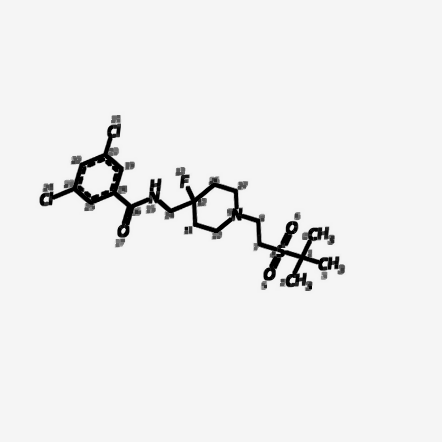 CC(C)(C)S(=O)(=O)CCN1CCC(F)(CNC(=O)c2cc(Cl)cc(Cl)c2)CC1